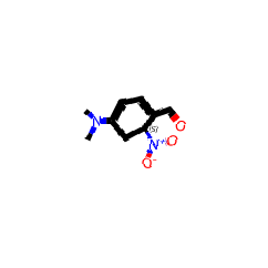 CN(C)C1=CC=C(C=O)[C@@H]([N+](=O)[O-])C1